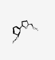 CC[C@@H]1CC[C@H](c2cccc(CF)c2)O1